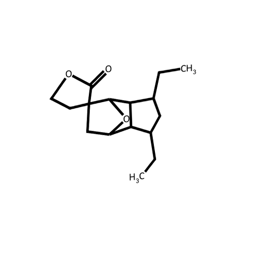 CCC1CC(CC)C2C1C1CC3(CCOC3=O)C2O1